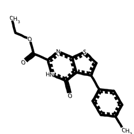 CCOC(=O)c1nc2scc(-c3ccc(C)cc3)c2c(=O)[nH]1